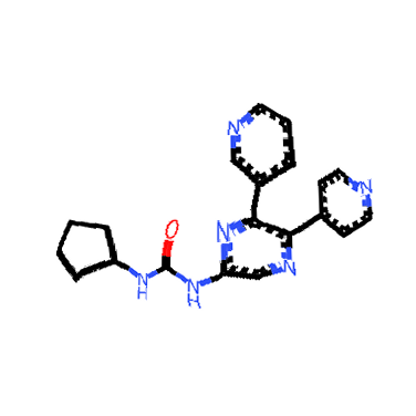 O=C(Nc1cnc(-c2ccncc2)c(-c2cccnc2)n1)NC1CCCC1